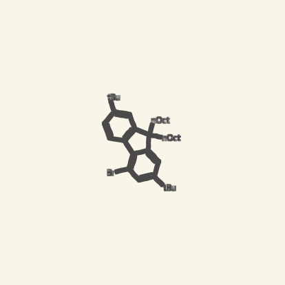 CCCCCCCCC1(CCCCCCCC)c2cc(C(C)(C)C)ccc2-c2c(Br)cc(C(C)(C)C)cc21